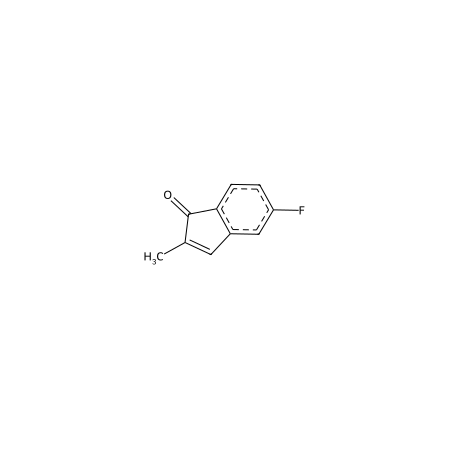 CC1=Cc2cc(F)ccc2C1=O